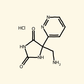 Cl.NCC1(c2cccnn2)NC(=O)NC1=O